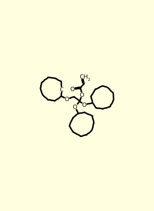 C=CC(=O)OC(COC1CCCCCCCCC1)(OC1CCCCCCCCC1)OC1CCCCCCCCC1